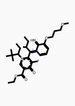 CCOC(=O)c1cn(C(CC)C(C)(C)C)c(/C(=C2\C=CC=C(OCCCOC)C2=N)C(C)CC)c(F)c1=O